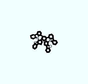 C1=CC2c3cccc(-c4cccc(-c5cccc6c7ccccc7n(-c7cccc8c7oc7ccccc78)c56)c4)c3N(c3cccc4c3oc3ccccc34)C2C=C1